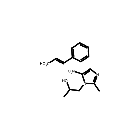 Cc1ncc([N+](=O)[O-])n1CC(C)O.O=C(O)C=Cc1ccccc1